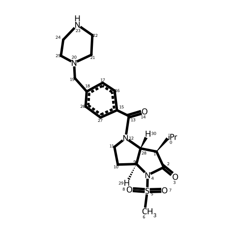 CC(C)[C@H]1C(=O)N(S(C)(=O)=O)[C@H]2CCN(C(=O)c3ccc(CN4CCNCC4)cc3)[C@H]12